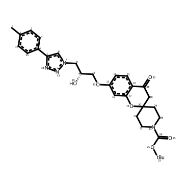 Cc1ccc(-c2cn(C[C@@H](O)COc3ccc4c(c3)OC3(CCN(C(=O)OC(C)(C)C)CC3)CC4=O)nn2)cc1